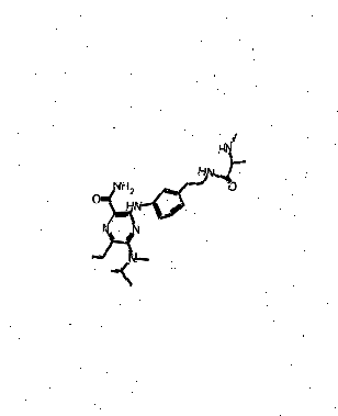 CCc1nc(C(N)=O)c(Nc2cccc(CCNC(=O)C(C)NC)c2)nc1N(C)C(C)C